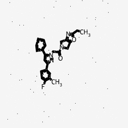 CCc1nc2c(o1)CN(C(=O)Cn1nc(-c3ccc(F)c(C)c3)cc1-c1ccccc1)C2